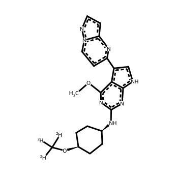 [2H]C([2H])([2H])O[C@H]1CC[C@@H](Nc2nc(OC)c3c(-c4ccn5nccc5n4)c[nH]c3n2)CC1